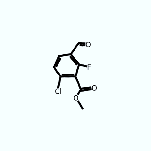 COC(=O)c1c(Cl)ccc(C=O)c1F